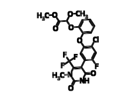 COC(=O)C(OC)Oc1ccccc1Oc1cc(-c2c(C(F)(F)F)n(C)c(=O)[nH]c2=O)c(F)cc1Cl